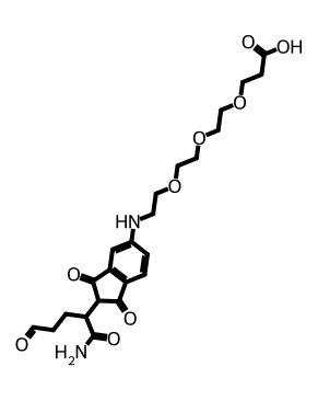 NC(=O)C(CCC=O)C1C(=O)c2ccc(NCCOCCOCCOCCC(=O)O)cc2C1=O